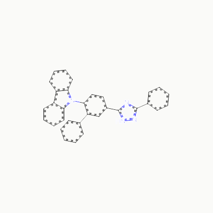 c1ccc(-c2n[nH]c(-c3ccc(-n4c5ccccc5c5ccccc54)c(-c4ccccc4)c3)n2)cc1